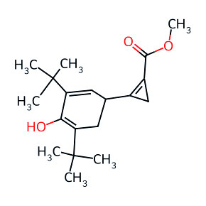 COC(=O)C1=C(C2C=C(C(C)(C)C)C(O)=C(C(C)(C)C)C2)C1